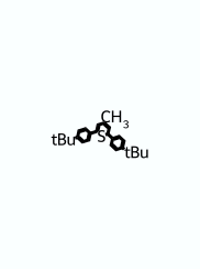 CC1=CC(c2ccc(C(C)(C)C)cc2)SC(c2ccc(C(C)(C)C)cc2)=C1